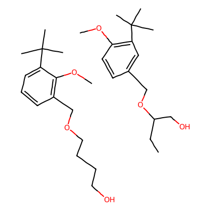 CCC(CO)OCc1ccc(OC)c(C(C)(C)C)c1.COc1c(COCCCCO)cccc1C(C)(C)C